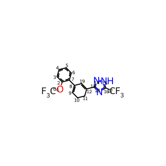 FC(F)(F)Oc1ccccc1C1=CCCC(c2n[nH]c(C(F)(F)F)n2)=C1